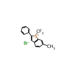 Cc1ccc2cc(-c3ccccc3)[s+](C(F)(F)F)c2c1.[Br-]